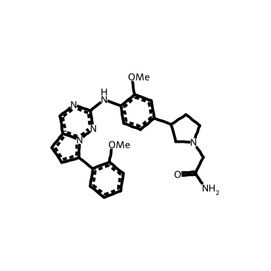 COc1cc(C2CCN(CC(N)=O)C2)ccc1Nc1ncc2ccc(-c3ccccc3OC)n2n1